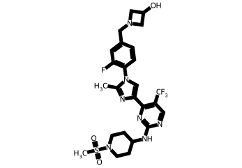 Cc1nc(-c2nc(NC3CCN(S(C)(=O)=O)CC3)ncc2C(F)(F)F)cn1-c1ccc(CN2CC(O)C2)cc1F